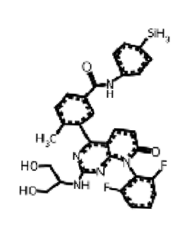 Cc1ccc(C(=O)Nc2ccc([SiH3])cc2)cc1-c1nc(NC(CO)CO)nc2c1ccc(=O)n2-c1c(F)cccc1F